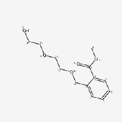 COC(=O)c1ccccc1COCCOCCO